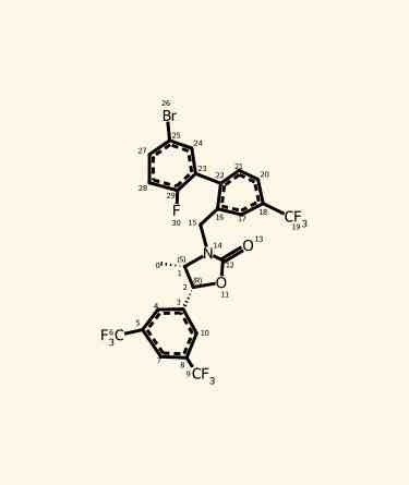 C[C@H]1[C@@H](c2cc(C(F)(F)F)cc(C(F)(F)F)c2)OC(=O)N1Cc1cc(C(F)(F)F)ccc1-c1cc(Br)ccc1F